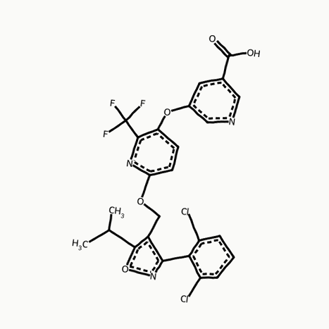 CC(C)c1onc(-c2c(Cl)cccc2Cl)c1COc1ccc(Oc2cncc(C(=O)O)c2)c(C(F)(F)F)n1